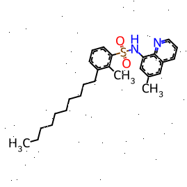 CCCCCCCCCCc1cccc(S(=O)(=O)Nc2cc(C)cc3cccnc23)c1C